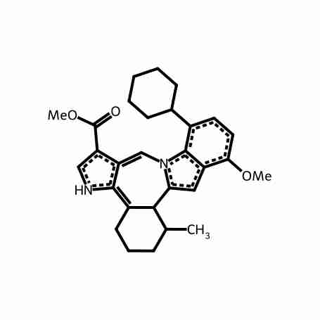 COC(=O)c1c[nH]c2c1=Cn1c(cc3c(OC)ccc(C4CCCCC4)c31)C1C=2CCCC1C